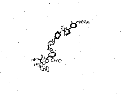 CCCC(C(=O)NC=O)N(C)C(=O)c1cc(N2CC(CN3CCN(c4ccc(Nc5nccc(-c6ccc(CNC)c(C)c6)n5)cc4)CC3)C2)ccc1C=O